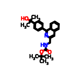 CC(C)(C)OC(=O)NCc1cc2ccccc2c(-c2ccc(C(C)(C)O)cc2)n1